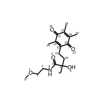 COCCNC(=O)C(C)(O)CCC1=C(C)C(=O)C(C)=C(C)C1=O